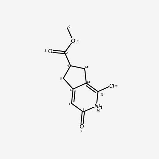 COC(=O)C1Cc2cc(=O)[nH]c(Cl)c2C1